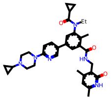 CCN(C(=O)C1CC1)c1cc(-c2ccc(N3CCN(C4CC4)CC3)nc2)cc(C(=O)NCc2c(C)cc(C)[nH]c2=O)c1C